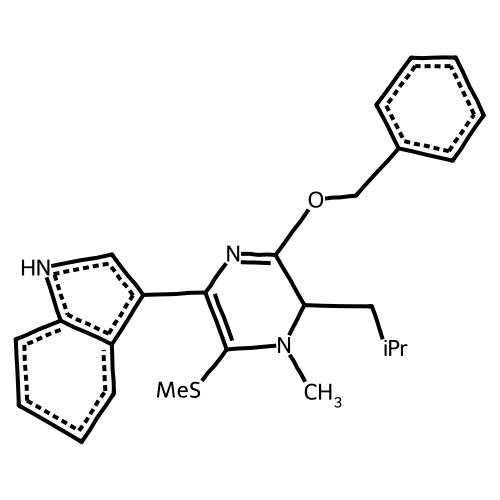 CSC1=C(c2c[nH]c3ccccc23)N=C(OCc2ccccc2)C(CC(C)C)N1C